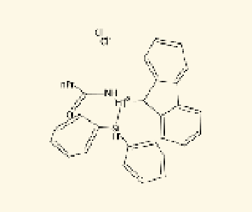 CCCC(=O)[NH][Hf+2]([CH]1c2ccccc2-c2ccccc21)[SiH](c1ccccc1)c1ccccc1.[Cl-].[Cl-]